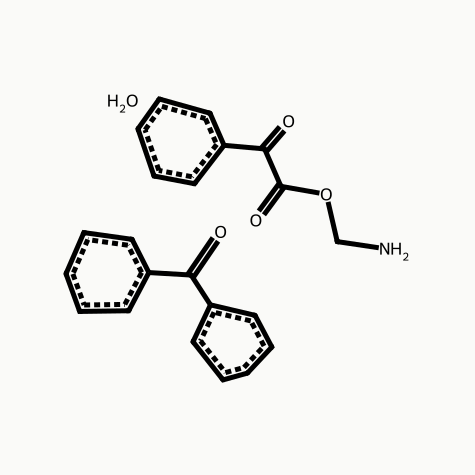 NCOC(=O)C(=O)c1ccccc1.O.O=C(c1ccccc1)c1ccccc1